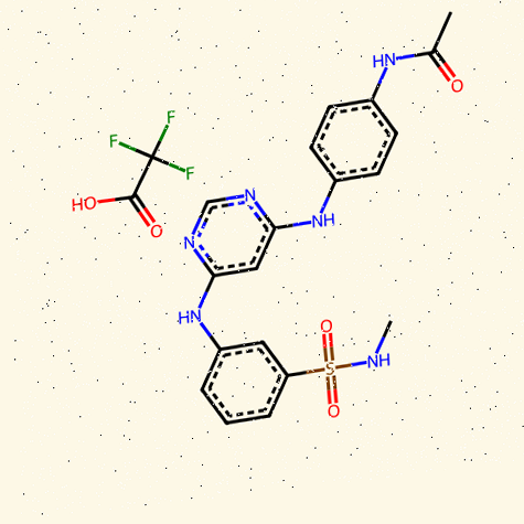 CNS(=O)(=O)c1cccc(Nc2cc(Nc3ccc(NC(C)=O)cc3)ncn2)c1.O=C(O)C(F)(F)F